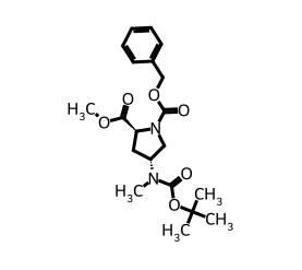 COC(=O)[C@@H]1C[C@@H](N(C)C(=O)OC(C)(C)C)CN1C(=O)OCc1ccccc1